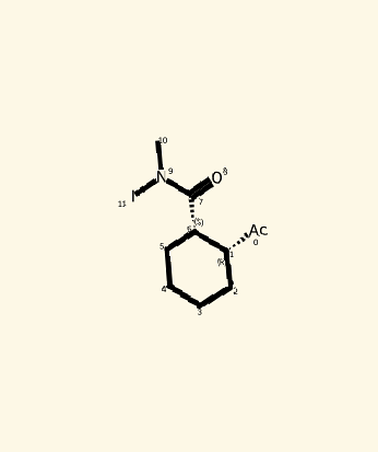 CC(=O)[C@@H]1CCCC[C@@H]1C(=O)N(C)I